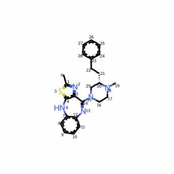 Cc1nc2c(s1)Nc1ccccc1N=C2N1CCN(C)[C@@H](CCc2ccccc2)C1